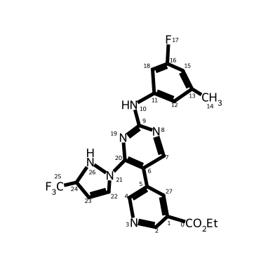 CCOC(=O)c1cncc(-c2cnc(Nc3cc(C)cc(F)c3)nc2N2C=CC(C(F)(F)F)N2)c1